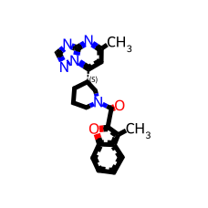 Cc1cc([C@H]2CCCN(C(=O)c3oc4ccccc4c3C)C2)n2ncnc2n1